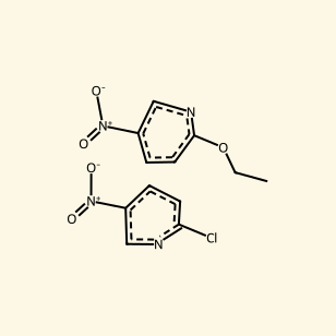 CCOc1ccc([N+](=O)[O-])cn1.O=[N+]([O-])c1ccc(Cl)nc1